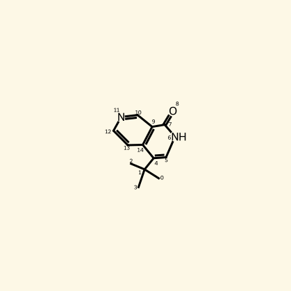 CC(C)(C)c1c[nH]c(=O)c2cnccc12